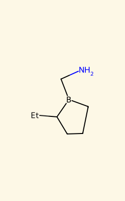 CCC1CCCB1CN